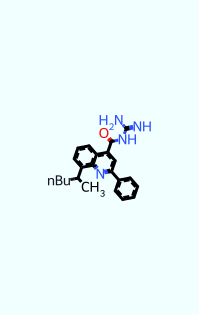 CCCCC(C)c1cccc2c(C(=O)NC(=N)N)cc(-c3ccccc3)nc12